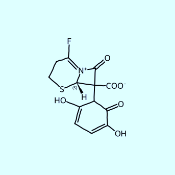 O=C1C(O)=CC=C(O)C1C1(C(=O)[O-])C(=O)[N+]2=C(F)CCS[C@H]21